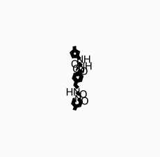 CC1CCN(C(=O)NCCc2ccc(S(=O)(=O)NC(=O)NC3CCC(C)C3)cc2)C(=O)C1